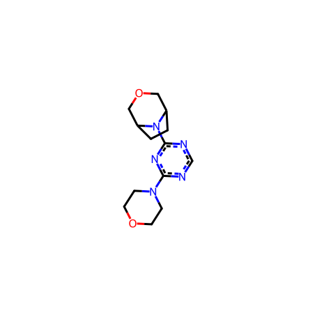 c1nc(N2CCOCC2)nc(N2C3CCC2COC3)n1